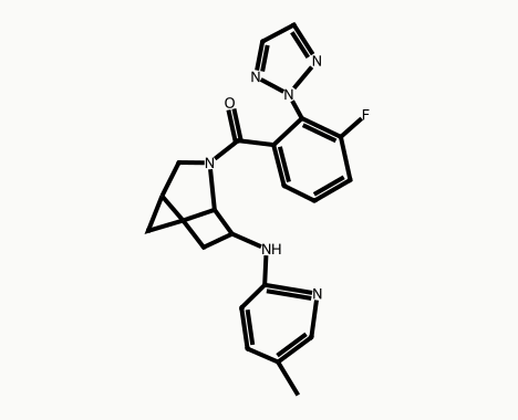 Cc1ccc(NC2CC34CC3CN(C(=O)c3cccc(F)c3-n3nccn3)C24)nc1